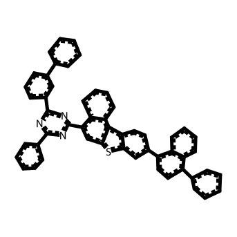 c1ccc(-c2cccc(-c3nc(-c4ccccc4)nc(-c4cc5sc6cc(-c7ccc(-c8ccccc8)c8ccccc78)ccc6c5c5ccccc45)n3)c2)cc1